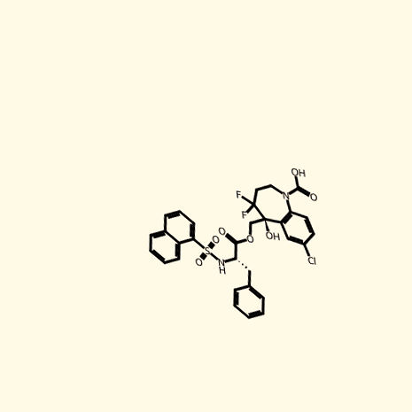 O=C(OC[C@@]1(O)c2cc(Cl)ccc2N(C(=O)O)CCC1(F)F)[C@H](Cc1ccccc1)NS(=O)(=O)c1cccc2ccccc12